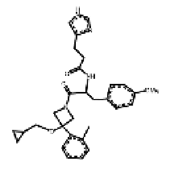 COc1ccc(CC(NC(=O)CCc2c[nH]cn2)C(=O)N2CC(OCC3CC3)(c3ccccc3C)C2)cc1